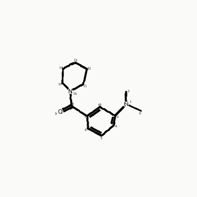 CN(C)c1cc[c]c(C(=O)N2CCCCC2)c1